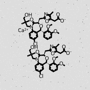 COc1cccc([C@H]2O[C@H](Cc3nc(C)c(CC(=O)[O-])o3)C(=O)N(CC(C)(C)CO)c3ccc(Cl)cc32)c1OC.COc1cccc([C@H]2O[C@H](Cc3nc(C)c(CC(=O)[O-])o3)C(=O)N(CC(C)(C)CO)c3ccc(Cl)cc32)c1OC.[Ca+2]